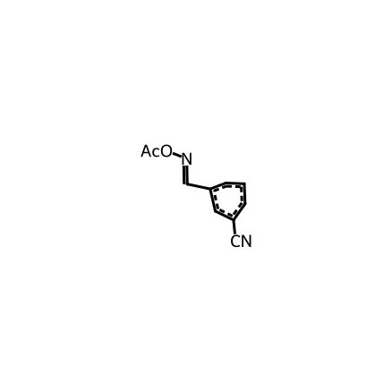 CC(=O)O/N=C/c1cccc(C#N)c1